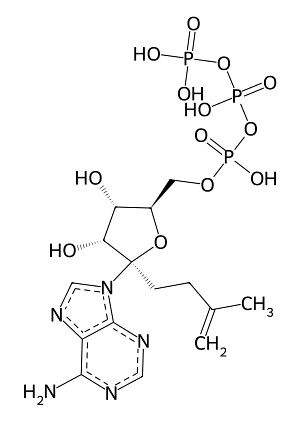 C=C(C)CC[C@@]1(n2cnc3c(N)ncnc32)O[C@H](COP(=O)(O)OP(=O)(O)OP(=O)(O)O)[C@@H](O)[C@H]1O